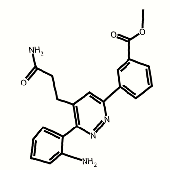 COC(=O)c1cccc(-c2cc(CCC(N)=O)c(-c3ccccc3N)nn2)c1